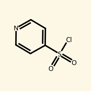 O=S(=O)(Cl)c1ccncc1